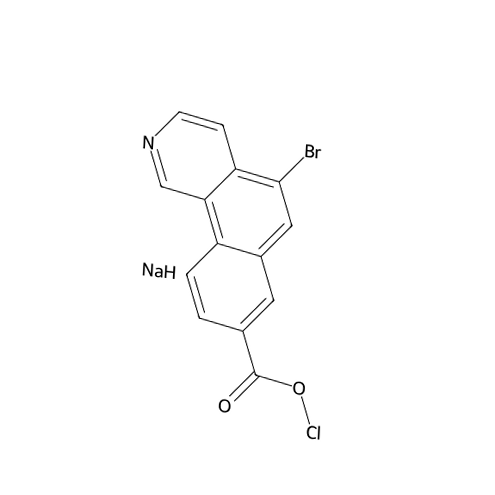 O=C(OCl)c1ccc2c(c1)cc(Br)c1ccncc12.[NaH]